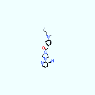 CCCCN(C)c1ccc(CC(=O)N2CCN(c3ncccc3C#N)CC2)cc1